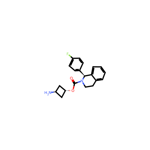 N[C@H]1C[C@H](OC(=O)N2CCc3ccccc3[C@@H]2c2ccc(F)cc2)C1